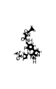 CN(C)C(=O)N1CCC(Nc2n[nH]c3nccc(-c4ccc(CNC(=O)c5coc(C6CC6)n5)c(F)c4)c23)C1